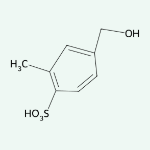 Cc1cc(CO)ccc1S(=O)(=O)O